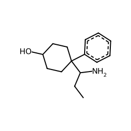 CCC(N)C1(c2ccccc2)CCC(O)CC1